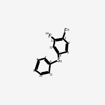 Fc1ccc(Sc2cc[c]cc2)cc1F